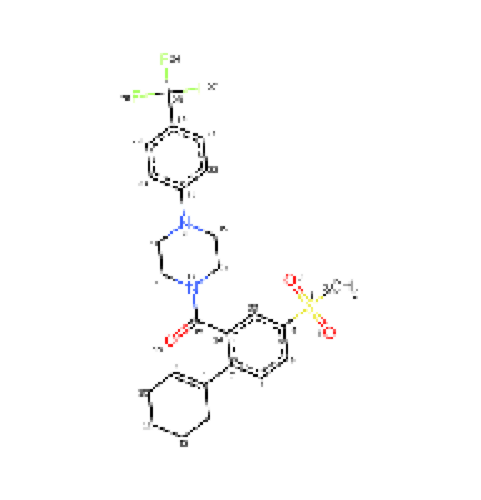 CS(=O)(=O)c1ccc(C2=CCCCC2)c(C(=O)N2CCN(c3ccc(C(F)(F)F)cc3)CC2)c1